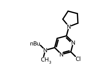 CCCCN(C)c1cc(N2CCCC2)nc(Cl)n1